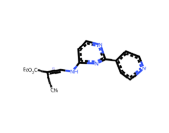 CCOC(=O)/C(C#N)=C/Nc1ccnc(-c2ccncc2)n1